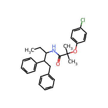 CCC(NC(=O)C(C)(C)Oc1ccc(Cl)cc1)C(Cc1ccccc1)c1ccccc1